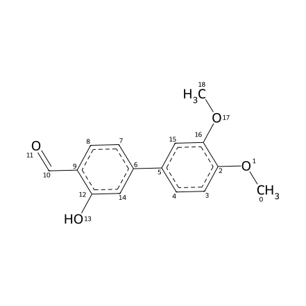 COc1ccc(-c2ccc(C=O)c(O)c2)cc1OC